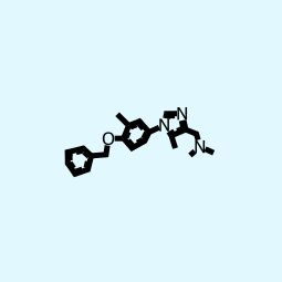 Cc1cc(-n2cnc(CN(C)C)c2C)ccc1OCc1ccccc1